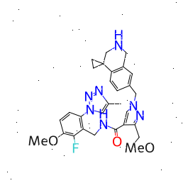 COCc1nn(Cc2ccc3c(c2)CNCC32CC2)cc1C(=O)NCc1c(-n2cc(C)nn2)ccc(OC)c1F